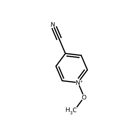 CO[n+]1ccc(C#N)cc1